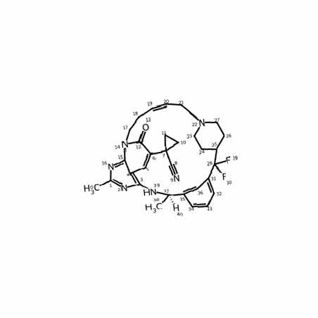 Cc1nc2c3cc(C4(C#N)CC4)c(=O)n(c3n1)CC/C=C\CN1CCC(CC1)C(F)(F)c1cccc(c1)[C@@H](C)N2